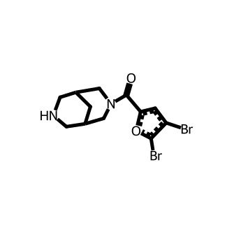 O=C(c1cc(Br)c(Br)o1)N1CC2CNCC(C2)C1